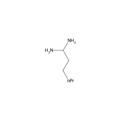 CCCCCC(N)N